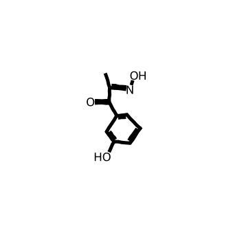 CC(=NO)C(=O)c1cccc(O)c1